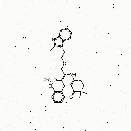 CCOC(=O)C1=C(COCCn2c(C)nc3ccccc32)NC2=C(C(=O)C(C)(C)CC2)C1c1ccccc1Cl